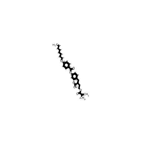 C=C(C)C(=O)OCCC(=Cc1ccc(OC(=O)c2ccc(OCCCCCCCC)cc2)cc1)C(=O)O